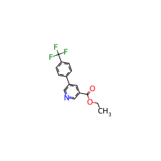 CCOC(=O)c1cncc(-c2ccc(C(F)(F)F)cc2)c1